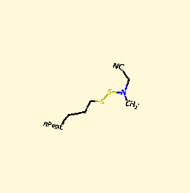 [CH2]N(CC#N)SSCCCCCCCC